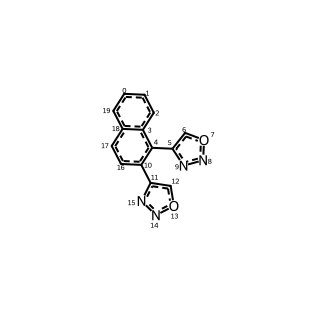 c1ccc2c(-c3conn3)c(-c3conn3)ccc2c1